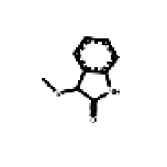 CSC1C(=O)Nc2ccccc21